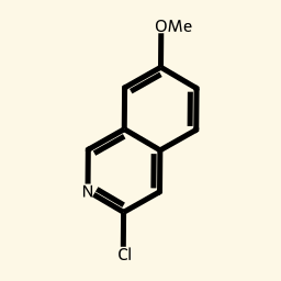 COc1ccc2cc(Cl)ncc2c1